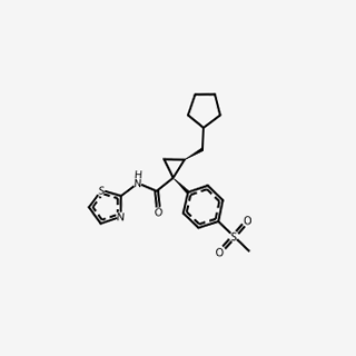 CS(=O)(=O)c1ccc([C@@]2(C(=O)Nc3nccs3)C[C@H]2CC2CCCC2)cc1